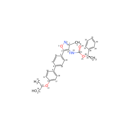 Cc1noc(-c2ccc(-c3ccc(OC(C)C(=O)O)cc3)cc2)c1NC(=O)O[C@H](C)c1ccccc1